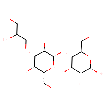 OCC(O)CO[C@@H]1[C@@H](O)[C@@H](O[C@H]2[C@H](O)[C@@H](O)[C@H](O)O[C@@H]2CO)O[C@H](CO)[C@H]1O